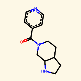 O=C(c1ccncc1)N1CCC2CCNC2C1